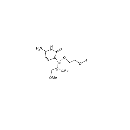 COC[C@@H](OC)[C@@H](OCCOI)N1C=CC(N)NC1=O